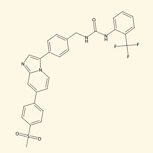 CS(=O)(=O)c1ccc(-c2ccn3c(-c4ccc(CNC(=O)Nc5ccccc5C(F)(F)F)cc4)cnc3c2)cc1